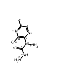 [CH2]c1cnc(N(N)C(=O)NN)c(Cl)n1